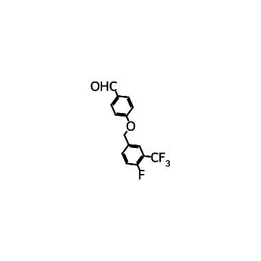 O=Cc1ccc(OCc2ccc(F)c(C(F)(F)F)c2)cc1